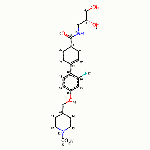 O=C(NC[C@@H](O)CO)C1CC=C(c2ccc(OCC3CCN(C(=O)O)CC3)cc2F)CC1